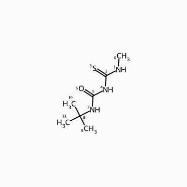 CNC(=S)NC(=O)NC(C)(C)C